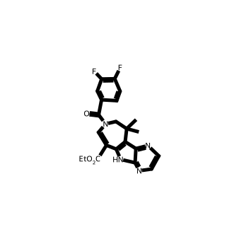 CCOC(=O)C1=CN(C(=O)c2ccc(F)c(F)c2)CC(C)(C)c2c1[nH]c1nccnc21